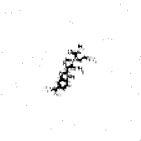 CC(=O)N(CCN)n1cnc(-c2nc3cc(C(=N)N)ccc3[nH]2)c1C